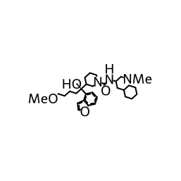 CNCC(CC1CCCCC1)NC(=O)N1CCCC([C@@](O)(CCCCOC)c2cccc3occc23)C1